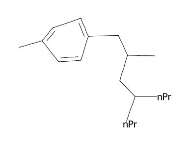 CCCC(CCC)CC(C)Cc1ccc(C)cc1